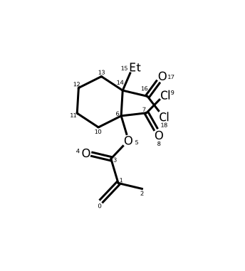 C=C(C)C(=O)OC1(C(=O)Cl)CCCCC1(CC)C(=O)Cl